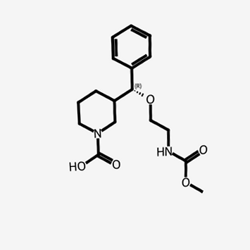 COC(=O)NCCO[C@@H](c1ccccc1)C1CCCN(C(=O)O)C1